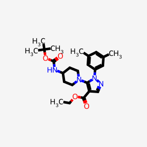 CCOC(=O)c1cnn(-c2cc(C)cc(C)c2)c1N1CCC(NC(=O)OC(C)(C)C)CC1